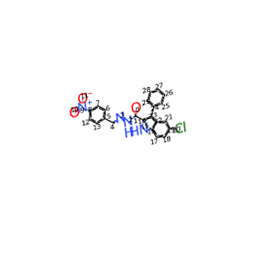 O=C(N/N=C/c1ccc([N+](=O)[O-])cc1)c1[nH]c2ccc(Cl)cc2c1-c1ccccc1